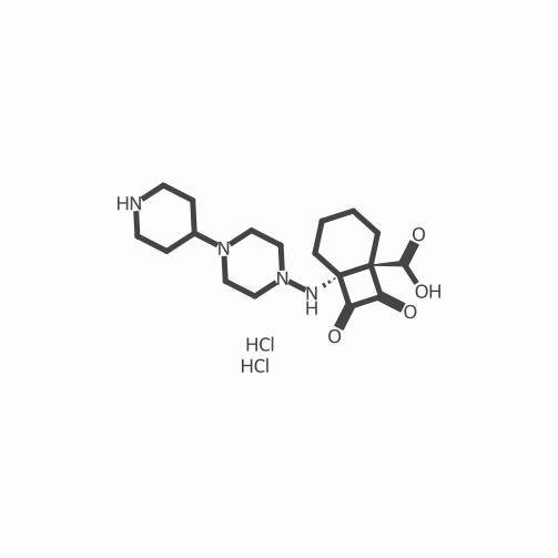 Cl.Cl.O=C(O)[C@]12CCCC[C@]1(NN1CCN(C3CCNCC3)CC1)C(=O)C2=O